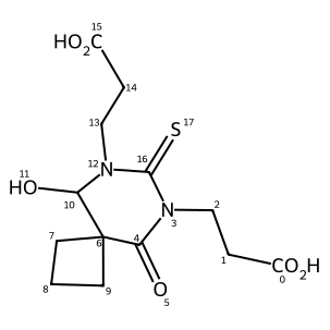 O=C(O)CCN1C(=O)C2(CCC2)C(O)N(CCC(=O)O)C1=S